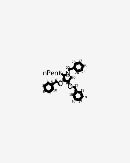 CCCCCC1[C@@H](OCc2ccccc2)[C@H](OCc2ccccc2)CN1Cc1ccccc1